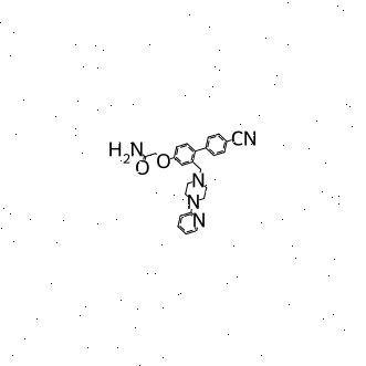 N#Cc1ccc(-c2ccc(OCC(N)=O)cc2CN2CCN(c3ccccn3)CC2)cc1